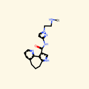 CCNCCn1ccc(NC(=O)c2c[nH]c3c2-c2ncccc2CCC3)n1